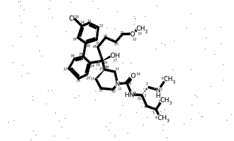 CNC[C@H](CC(C)C)NC(=O)N1CCC[C@@H]([C@@](O)(CCCCOC)c2ccccc2-c2cccc(Cl)c2)C1